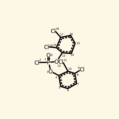 O=P(Cl)(Oc1cccc(Cl)c1Cl)Oc1cccc(Cl)c1Cl